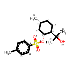 Cc1ccc(S(=O)(=O)O[C@@H]2C[C@H](C)CC[C@H]2C(C)(C)O)cc1